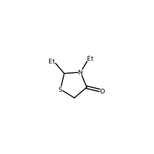 CCC1SCC(=O)N1CC